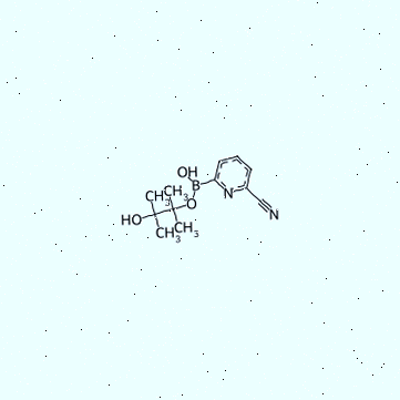 CC(C)(O)C(C)(C)OB(O)c1cccc(C#N)n1